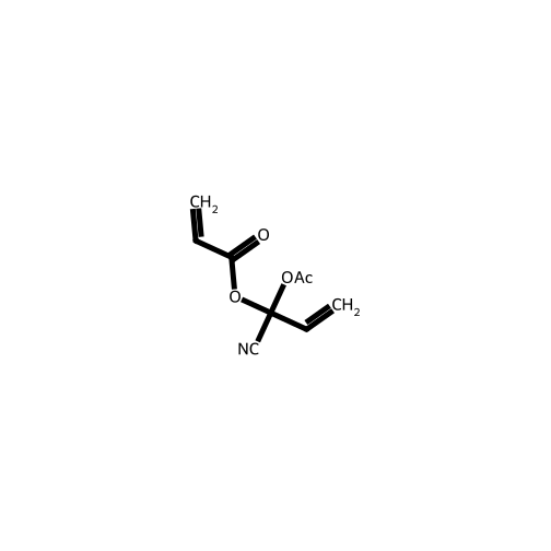 C=CC(=O)OC(C#N)(C=C)OC(C)=O